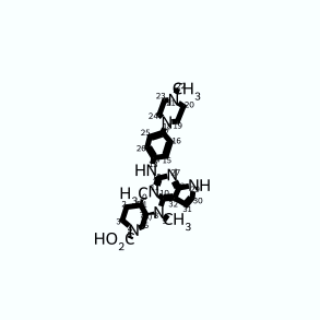 C[C@@H]1CCN(C(=O)O)C[C@@H]1N(C)c1nc(Nc2ccc(N3CCN(C)CC3)cc2)nc2[nH]ccc12